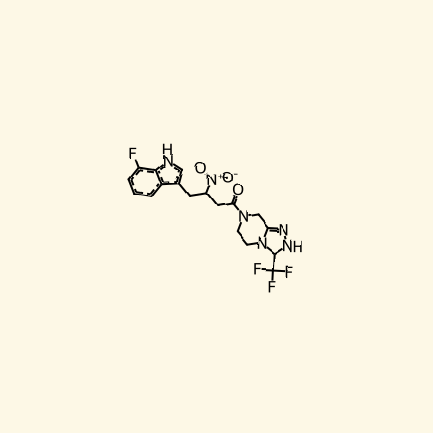 O=C(CC(Cc1c[nH]c2c(F)cccc12)[N+](=O)[O-])N1CCN2C(=NNC2C(F)(F)F)C1